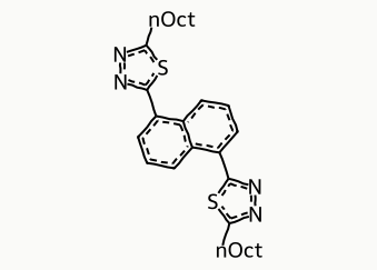 CCCCCCCCc1nnc(-c2cccc3c(-c4nnc(CCCCCCCC)s4)cccc23)s1